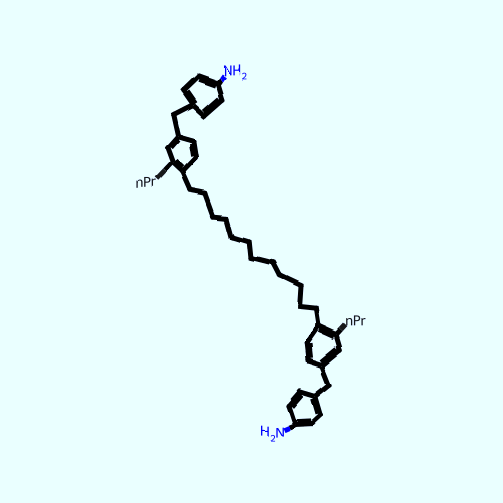 CCCc1cc(Cc2ccc(N)cc2)ccc1CCCCCCCCCCCCc1ccc(Cc2ccc(N)cc2)cc1CCC